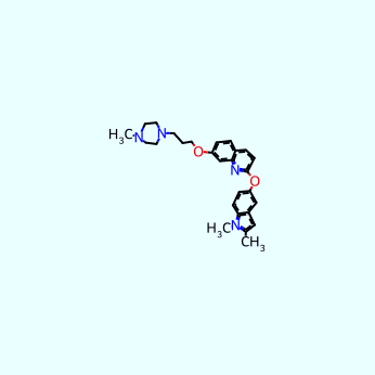 Cc1cc2cc(Oc3ccc4ccc(OCCCN5CCN(C)CC5)cc4n3)ccc2n1C